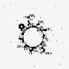 C/C=C1\NC(=O)[C@H](Cc2ccccc2)NC(=O)[C@H](CCCNC(=N)N)NC(=O)[C@H](CCN)NC(=O)[C@@H](CCN)NC(=O)[C@@H](CO)CC(=O)C(NC(=O)C[C@@H](O)CCCCCCCCC)COC(=O)[C@H]([C@H](O)CCl)NC(=O)[C@H]([C@H](O)C=O)NC1=O